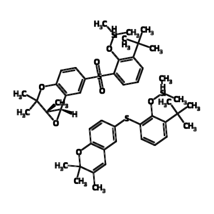 CC1=Cc2cc(Sc3cccc(C(C)(C)C)c3O[SiH](C)C)ccc2OC1(C)C.C[SiH](C)Oc1c(C(C)(C)C)cccc1S(=O)(=O)c1ccc2c(c1)[C@@H]1O[C@]1(C)C(C)(C)O2